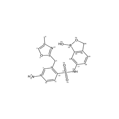 Cc1coc(Cc2cc(N)ccc2S(=O)(=O)Nc2ccc3c(c2)B(O)OC3)n1